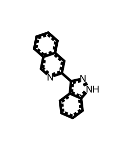 c1ccc2cc(-c3n[nH]c4ccccc34)ncc2c1